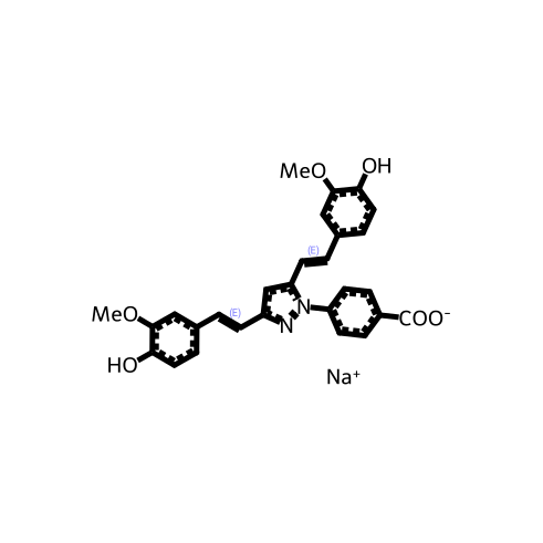 COc1cc(/C=C/c2cc(/C=C/c3ccc(O)c(OC)c3)n(-c3ccc(C(=O)[O-])cc3)n2)ccc1O.[Na+]